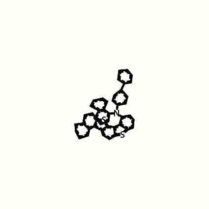 c1ccc(-c2ccc(N(c3cccc4ccccc34)c3cccc4sc5ccc6c(sc7ccc8ccccc8c76)c5c34)cc2)cc1